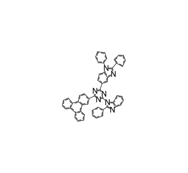 c1ccc(-c2nc3cc(-c4nc(-c5ccc6c7ccccc7c7ccccc7c6c5)nc(-n5c(-c6ccccc6)nc6ccccc65)n4)ccc3n2-c2ccccc2)cc1